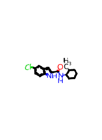 C[C@H]1CCCC[C@H]1NC(=O)c1cc2cc(Cl)ccc2[nH]1